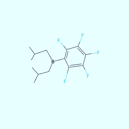 CC(C)CB(CC(C)C)c1c(F)c(F)c(F)c(F)c1F